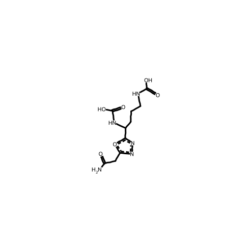 NC(=O)Cc1nnc(C(CCCNC(=O)O)NC(=O)O)o1